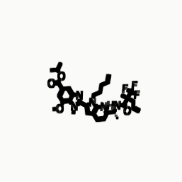 C=CCCCn1c(-c2nc3cc(C(=O)OC(C)C)cc(OC)c3n2C)cc2ccc([C@@H](C)NC(=O)C(C)(CC=C)C(F)(F)F)nc21